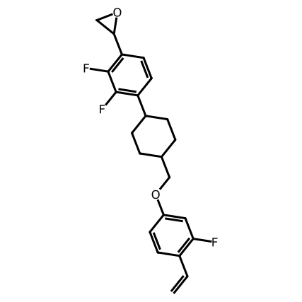 C=Cc1ccc(OCC2CCC(c3ccc(C4CO4)c(F)c3F)CC2)cc1F